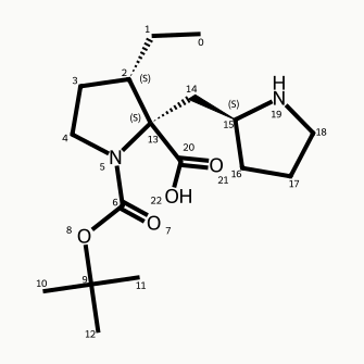 CC[C@H]1CCN(C(=O)OC(C)(C)C)[C@]1(C[C@@H]1CCCN1)C(=O)O